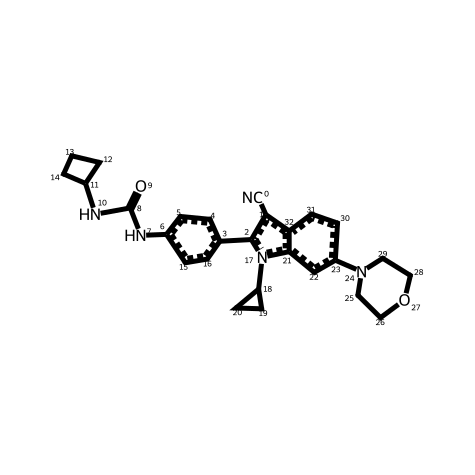 N#Cc1c(-c2ccc(NC(=O)NC3CCC3)cc2)n(C2CC2)c2cc(N3CCOCC3)ccc12